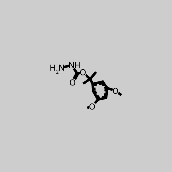 COc1cc(OC)cc(C(C)(C)OC(=O)NN)c1